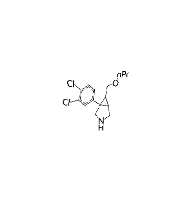 CCCOCC1C2CNCC21c1ccc(Cl)c(Cl)c1